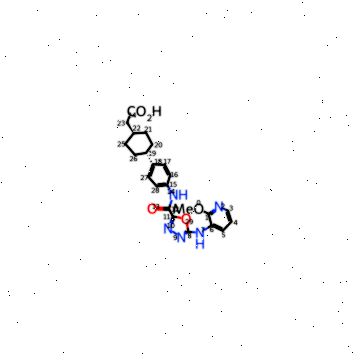 COc1ncccc1Nc1nnc(C(=O)Nc2ccc([C@H]3CC[C@H](CC(=O)O)CC3)cc2)o1